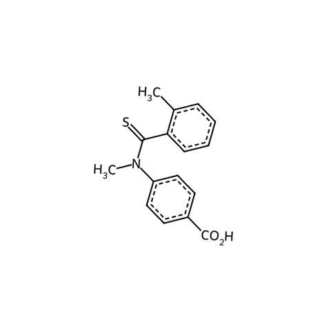 Cc1ccccc1C(=S)N(C)c1ccc(C(=O)O)cc1